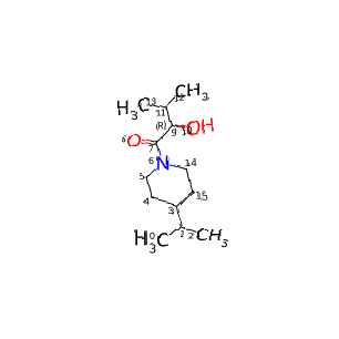 CC(C)C1CCN(C(=O)[C@H](O)C(C)C)CC1